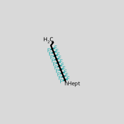 C=CCC(F)(F)C(F)(F)C(F)(F)C(F)(F)C(F)(F)C(F)(F)C(F)(F)C(F)(F)C(F)(F)C(F)(F)CCCCCCC